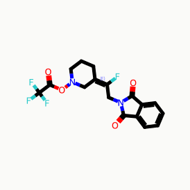 O=C1c2ccccc2C(=O)N1C/C(F)=C1/CCCN(OC(=O)C(F)(F)F)C1